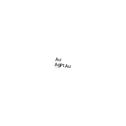 [Ag].[Au].[Au].[Pt]